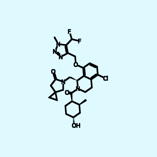 C[C@H]1C[C@H](O)CC[C@H]1C(=O)N1CCc2c(Cl)ccc(OCc3nnn(C)c3C(F)F)c2[C@H]1CN1CC2(CC2)CC1=O